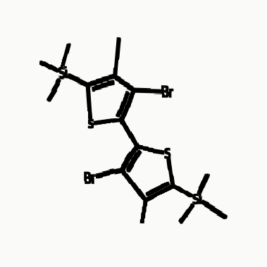 Cc1c([Si](C)(C)C)sc(-c2sc([Si](C)(C)C)c(C)c2Br)c1Br